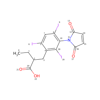 CCC(Cc1c(I)cc(I)c(N2C(=O)C=CC2=O)c1I)C(=O)O